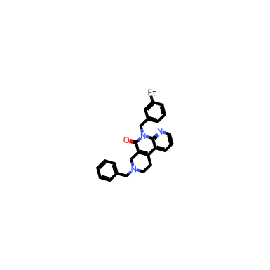 CCc1cccc(Cn2c(=O)c3c(c4cccnc42)CCN(Cc2ccccc2)C3)c1